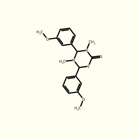 COc1cccc(C2SC(=S)N(C)C(c3cccc(OC)c3)N2C)c1